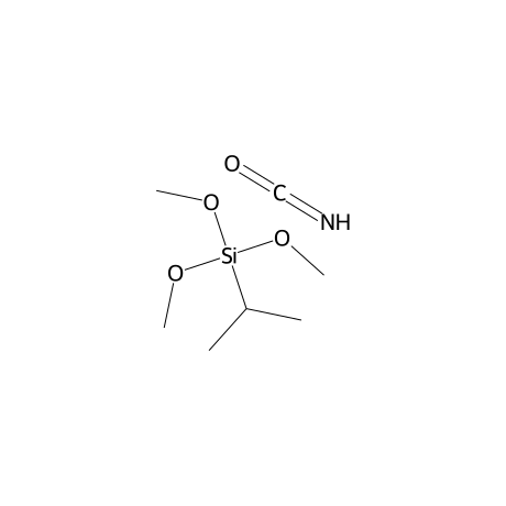 CO[Si](OC)(OC)C(C)C.N=C=O